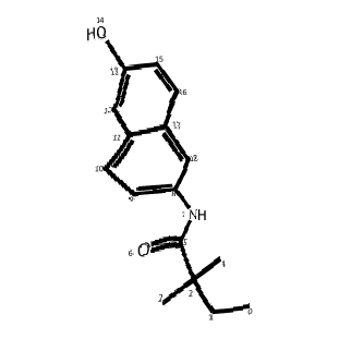 CCC(C)(C)C(=O)Nc1ccc2cc(O)ccc2c1